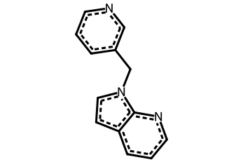 c1cncc(Cn2ccc3cccnc32)c1